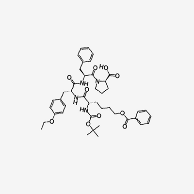 CCOc1ccc(C[C@@H](NC(=O)[C@H](CCCCOC(=O)c2ccccc2)NC(=O)OC(C)(C)C)C(=O)N[C@@H](Cc2ccccc2)C(=O)N2CCC[C@@H]2C(=O)O)cc1